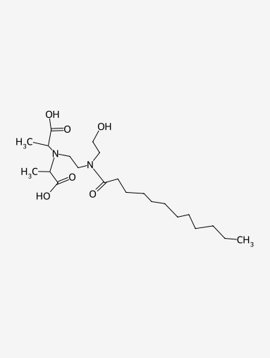 CCCCCCCCCCCC(=O)N(CCO)CCN(C(C)C(=O)O)C(C)C(=O)O